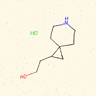 Cl.OCCC1CC12CCNCC2